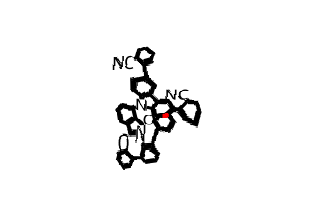 N#Cc1ccccc1-c1ccc2c(c1)c1cc(-c3ccccc3C#N)ccc1n2-c1cccc2c1C(=O)N(c1c(-c3ccccc3)cccc1-c1ccccc1)C2=O